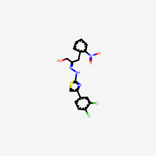 O=[N+]([O-])c1ccccc1C/C(CO)=N\Nc1nc(-c2ccc(Cl)c(Cl)c2)cs1